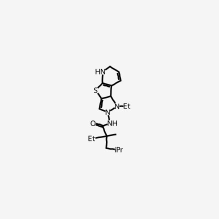 CCN1C2C(=CN1NC(=O)C(C)(CC)CC(C)C)SC1=C2C=CCN1